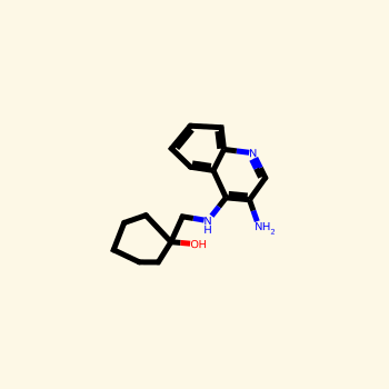 Nc1cnc2ccccc2c1NCC1(O)CCCCC1